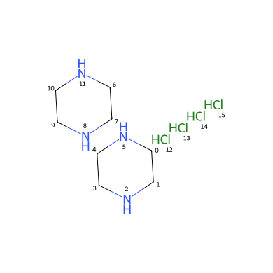 C1CNCCN1.C1CNCCN1.Cl.Cl.Cl.Cl